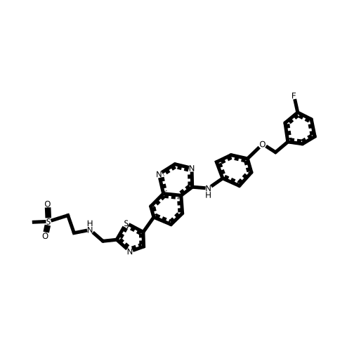 CS(=O)(=O)CCNCc1ncc(-c2ccc3c(Nc4ccc(OCc5cccc(F)c5)cc4)ncnc3c2)s1